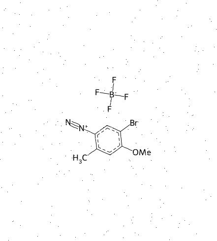 COc1cc(C)c([N+]#N)cc1Br.F[B-](F)(F)F